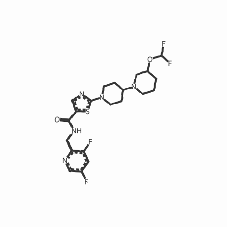 O=C(NCc1ncc(F)cc1F)c1cnc(N2CCC(N3CCCC(OC(F)F)C3)CC2)s1